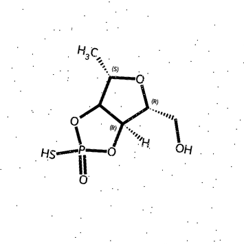 C[C@@H]1O[C@H](CO)[C@H]2OP(=O)(S)OC12